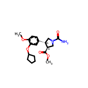 COC(=O)[C@@H]1CN(C(N)=O)C[C@H]1c1ccc(OC)c(OC2CCCC2)c1